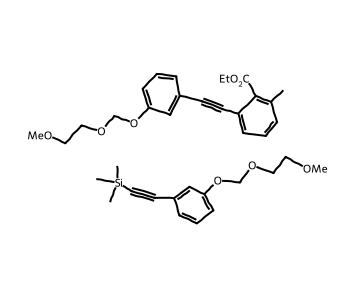 CCOC(=O)c1c(C)cccc1C#Cc1cccc(OCOCCOC)c1.COCCOCOc1cccc(C#C[Si](C)(C)C)c1